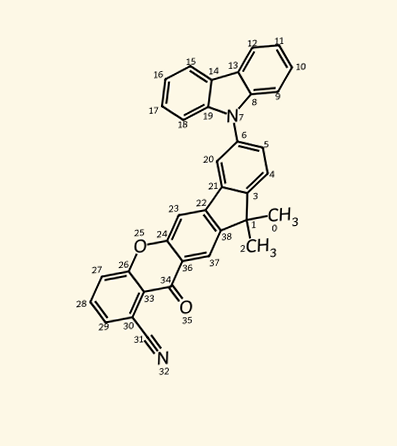 CC1(C)c2ccc(-n3c4ccccc4c4ccccc43)cc2-c2cc3oc4cccc(C#N)c4c(=O)c3cc21